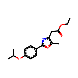 CCOC(=O)Cc1nc(-c2ccc(OC(C)C)cc2)oc1C